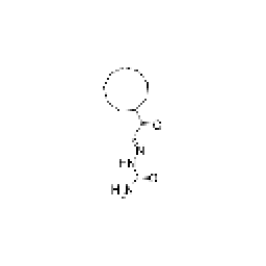 NC(=O)N/N=C/C(=O)C1CCCCCCCC1